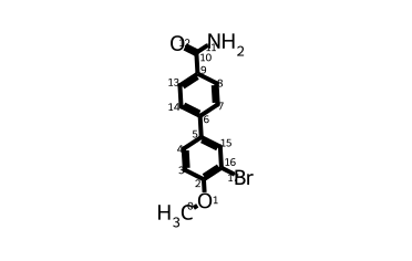 COc1ccc(-c2ccc(C(N)=O)cc2)cc1Br